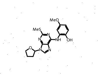 COc1ccc(O)c(Nc2nc(SC)nc3c2ncn3C2CCCO2)c1